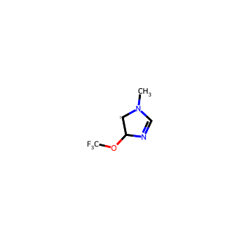 CN1[C]C(OC(F)(F)F)N=C1